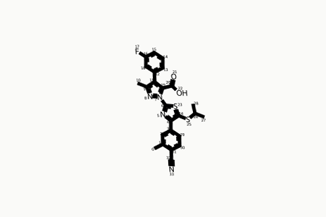 Cc1cc(-c2nc(-n3nc(C)c(-c4cccc(F)c4)c3C(=O)O)sc2SC(C)C)ccc1C#N